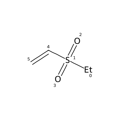 [CH2]CS(=O)(=O)C=C